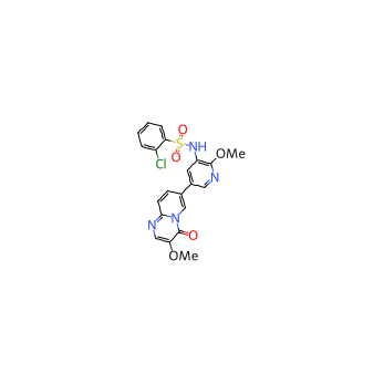 COc1ncc(-c2ccc3ncc(OC)c(=O)n3c2)cc1NS(=O)(=O)c1ccccc1Cl